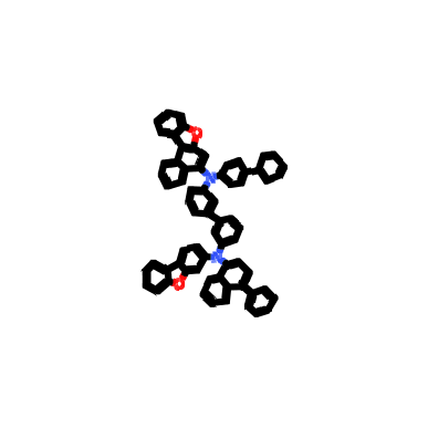 c1ccc(-c2ccc(N(c3cccc(-c4cccc(N(c5ccc6c(c5)oc5ccccc56)c5ccc(-c6ccccc6)c6ccccc56)c4)c3)c3cc4oc5ccccc5c4c4ccccc34)cc2)cc1